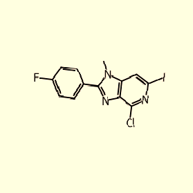 Cn1c(-c2ccc(F)cc2)nc2c(Cl)nc(I)cc21